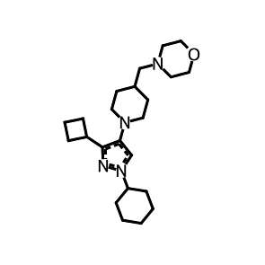 c1c(N2CCC(CN3CCOCC3)CC2)c(C2CCC2)nn1C1CCCCC1